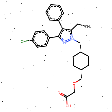 CCc1c(-c2ccccc2)c(-c2ccc(Cl)cc2)nn1C[C@H]1CC[C@@H](COCC(=O)O)CC1